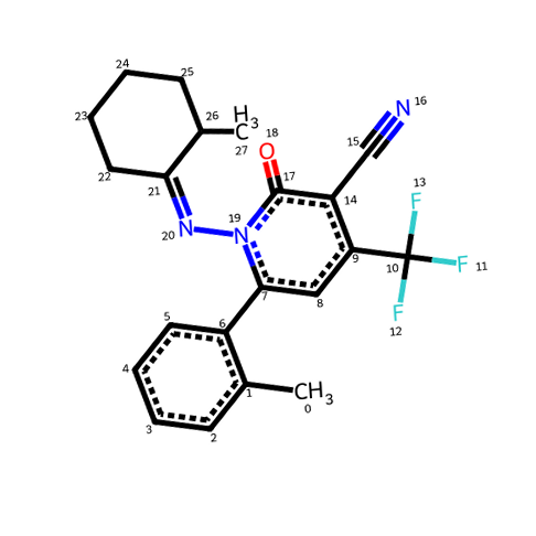 Cc1ccccc1-c1cc(C(F)(F)F)c(C#N)c(=O)n1/N=C1/CCCCC1C